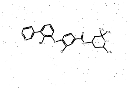 CC1CC(NC(=O)c2ccc(Oc3cccc(-c4ccnnc4)c3C#N)c(Cl)c2)CC(C)(C)N1